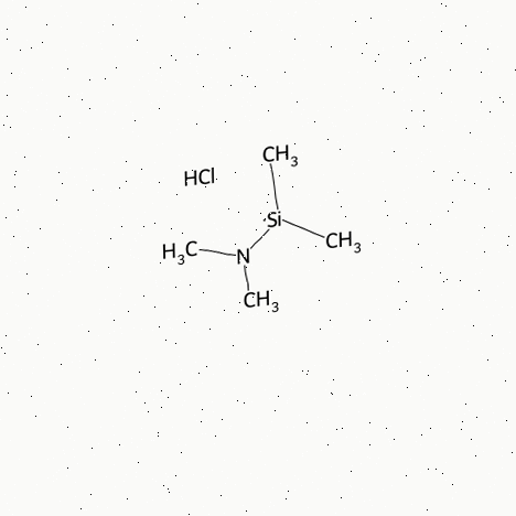 CN(C)[Si](C)C.Cl